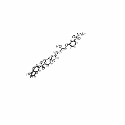 CNS(=O)(=O)c1cccc(OC[C@@H](O)CN[C@H]2COC3(CCN(S(=O)(=O)c4cnc5[nH]ncc5c4)CC3)C2)c1